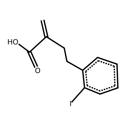 C=C(CCc1ccccc1I)C(=O)O